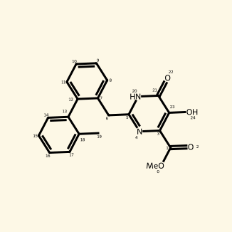 COC(=O)c1nc(Cc2ccccc2-c2ccccc2C)[nH]c(=O)c1O